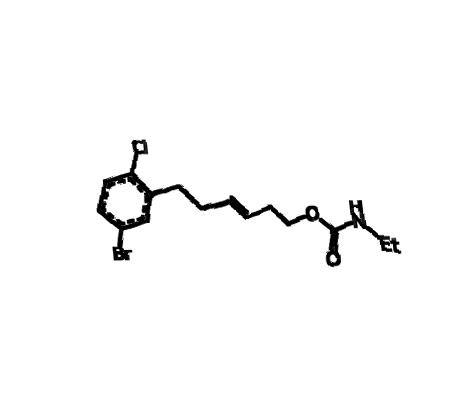 CCNC(=O)OCCC=CCCc1cc(Br)ccc1Cl